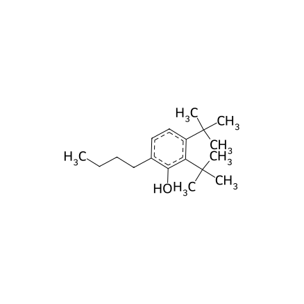 CCCCc1ccc(C(C)(C)C)c(C(C)(C)C)c1O